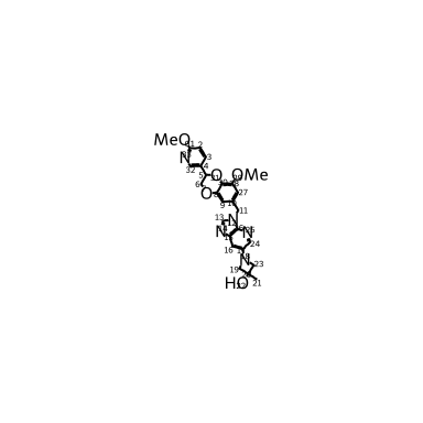 COc1ccc(C2COc3cc(Cn4cnc5cc(N6CC(C)(O)C6)cnc54)cc(OC)c3O2)cn1